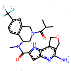 CC(C)C(=O)N1Cc2cc(C(F)(F)F)ccc2[C@H](N(C)C(=O)c2cc3nc(N)c4c(c3[nH]2)COC4)C1